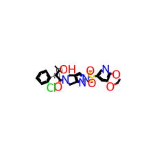 C[C@@H](O)[C@H](C(=O)N1Cc2cn(S(=O)(=O)c3cnc4c(c3)OCCO4)nc2C1)c1ccccc1Cl